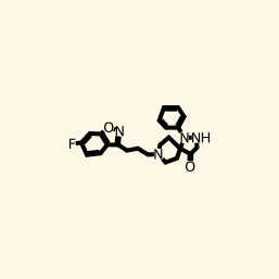 O=C1CNN(c2ccccc2)C12CCN(CCCc1noc3cc(F)ccc13)CC2